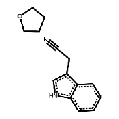 C1CCOC1.N#CCc1c[nH]c2ccccc12